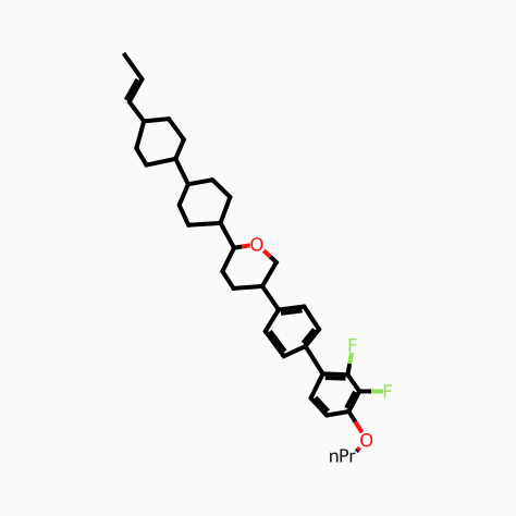 C/C=C/C1CCC(C2CCC(C3CCC(c4ccc(-c5ccc(OCCC)c(F)c5F)cc4)CO3)CC2)CC1